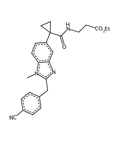 CCOC(=O)CCNC(=O)C1(c2ccc3c(c2)nc(Cc2ccc(C#N)cc2)n3C)CC1